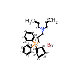 C=CCN(CC=C)CCC[P+](c1ccccc1)(c1ccccc1)c1ccccc1.[Br-]